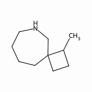 CC1CCC12CCCCNC2